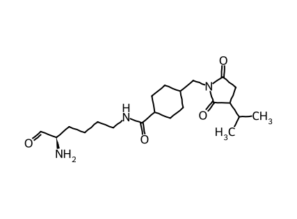 CC(C)C1CC(=O)N(CC2CCC(C(=O)NCCCC[C@@H](N)C=O)CC2)C1=O